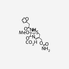 COC1(NC(=O)Cc2ccco2)C(=O)N2C(C(=O)O)=C(COC(N)=O)CS[C@@H]21